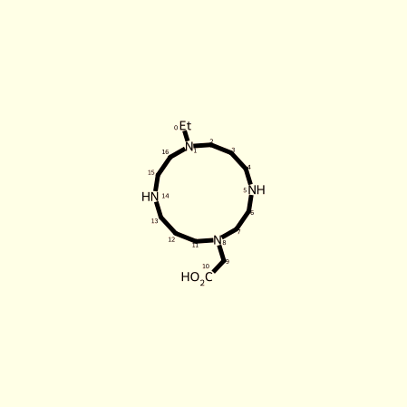 CCN1CCCNCCN(CC(=O)O)CCCNCC1